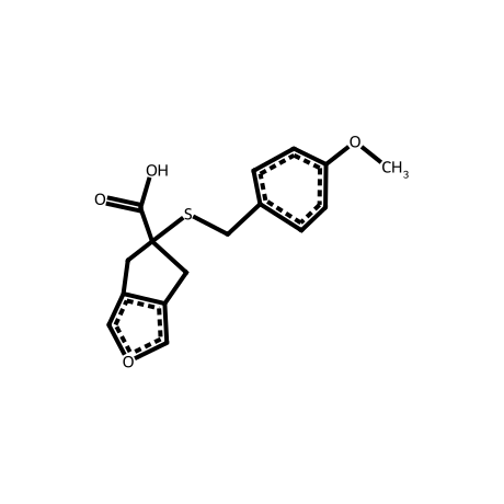 COc1ccc(CSC2(C(=O)O)Cc3cocc3C2)cc1